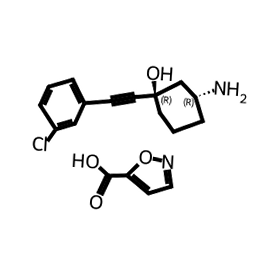 N[C@@H]1CCC[C@](O)(C#Cc2cccc(Cl)c2)C1.O=C(O)c1ccno1